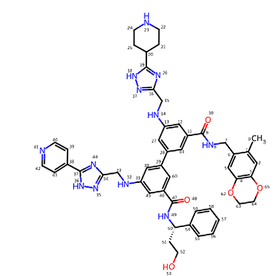 Cc1cc2c(cc1CNC(=O)c1cc(NCc3n[nH]c(C4CCNCC4)n3)cc(-c3cc(NCc4n[nH]c(-c5ccncc5)n4)cc(C(=O)N[C@@H](CCO)c4ccccc4)c3)c1)OCCO2